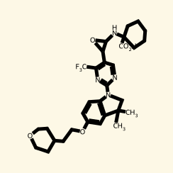 CC1(C)CN(c2ncc(C3OC3NC3(C(=O)O)CCCCC3)c(C(F)(F)F)n2)c2ccc(OCCC3CCOCC3)cc21